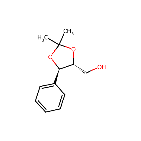 CC1(C)O[C@H](c2ccccc2)[C@@H](CO)O1